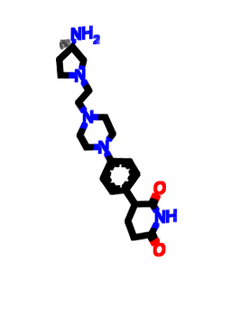 N[C@H]1CCN(CCN2CCN(c3ccc(C4CCC(=O)NC4=O)cc3)CC2)C1